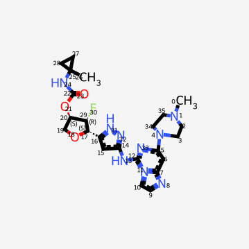 CN1CCN(c2cc3nccn3c(Nc3cc([C@@H]4OC[C@H](OC(=O)NC5(C)CC5)[C@@H]4F)[nH]n3)n2)CC1